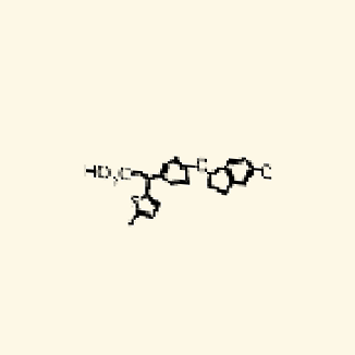 Cc1ccc(C(CC(=O)O)c2ccc(OC3CCc4cc(Cl)ccc43)cc2)s1